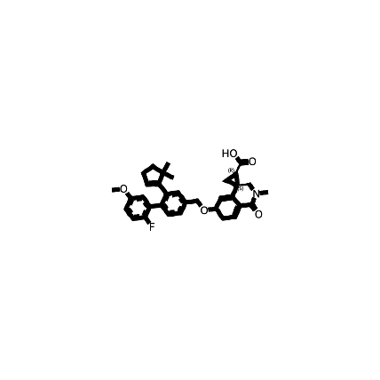 COc1ccc(F)c(-c2ccc(COC3C=C4C(=CC3)C(=O)N(C)C[C@]43C[C@H]3C(=O)O)cc2C2=CCCC2(C)C)c1